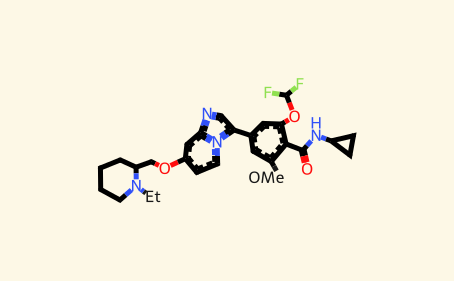 CCN1CCCCC1COc1ccn2c(-c3cc(OC)c(C(=O)NC4CC4)c(OC(F)F)c3)cnc2c1